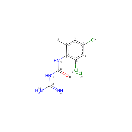 Cc1cc(Cl)cc(Cl)c1NC(=O)NC(=N)N.Cl